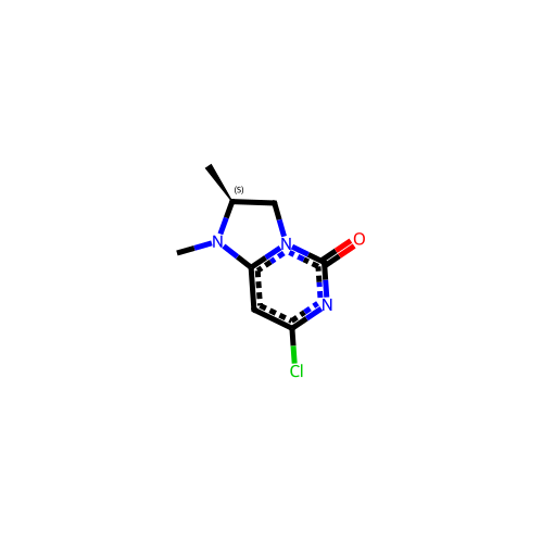 C[C@H]1Cn2c(cc(Cl)nc2=O)N1C